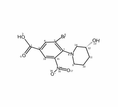 O=C(O)c1cc(Br)c(N2CCC[C@@H](O)C2)c([N+](=O)[O-])c1